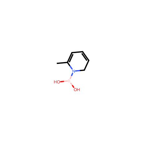 CC1=CC=CCN1B(O)O